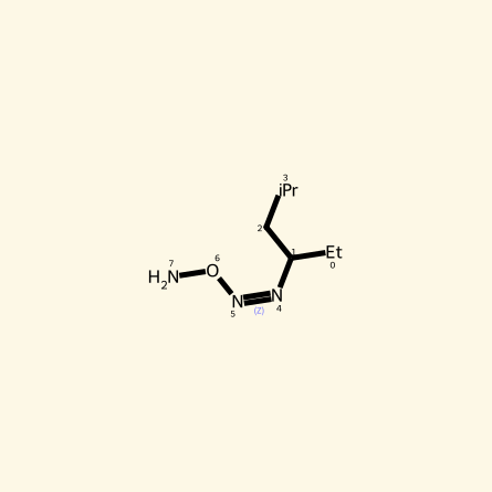 CCC(CC(C)C)/N=N\ON